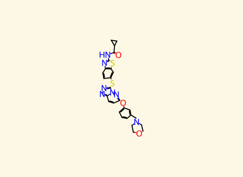 O=C(Nc1nc2ccc(Sc3nnc4ccc(Oc5cccc(CN6CCOCC6)c5)nn34)cc2s1)C1CC1